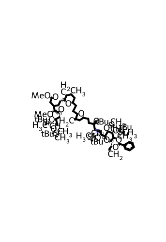 C=CC[C@@H]1O[C@@H]([C@H](/C=C/C(=O)CCC2CC(=C)C(CCC3CC(C)C(=C)[C@@H](CC4O[C@H](CC(CO[Si](C)(C)C(C)(C)C)O[Si](C)(C)C(C)(C)C)[C@H](OC)C4CC(=O)OC)O3)O2)O[Si](C)(C)C(C)(C)C)C(O[Si](C)(C)C(C)(C)C)C(O[Si](C)(C)C(C)(C)C)C1OC(=O)c1ccccc1